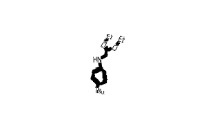 CCOC(CNc1ccc(C(C)CC)cc1)OCC